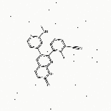 CNc1cc(-c2cc3ccc(=O)[nH]c3nc2-c2cccc(C#N)c2F)ccn1